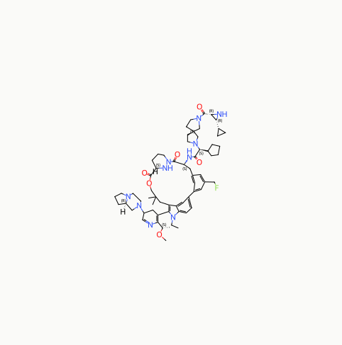 CCn1c(C2=C([C@H](C)OC)N=CC(N3CCN4CCC[C@@H]4C3)C2)c2c3cc(ccc31)-c1cc(CF)cc(c1)C[C@H](NC(=O)[C@H](C1CCCC1)N1CC[C@]3(CCN(C(=O)[C@@H]4N[C@@H]4C4CC4)C3)C1)C(=O)N1CCC[C@H](N1)C(=O)OCC(C)(C)C2